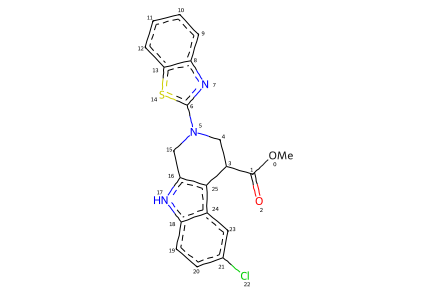 COC(=O)C1CN(c2nc3ccccc3s2)Cc2[nH]c3ccc(Cl)cc3c21